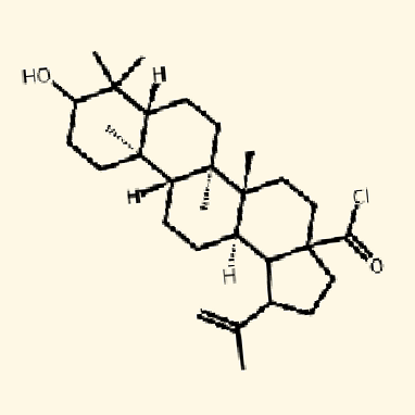 C=C(C)C1CCC2(C(=O)Cl)CC[C@]3(C)[C@H](CC[C@@H]4[C@@]5(C)CCC(O)C(C)(C)[C@@H]5CC[C@]43C)C12